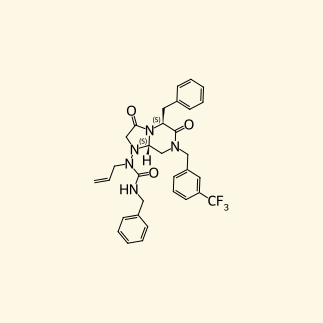 C=CCN(C(=O)NCc1ccccc1)N1CC(=O)N2[C@@H](Cc3ccccc3)C(=O)N(Cc3cccc(C(F)(F)F)c3)C[C@@H]21